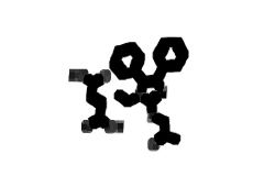 CCn1c(SCC(C)=O)nc(-c2ccccc2)c1-c1ccccc1.O=C(O)C=CC(=O)O